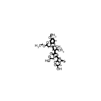 CCOC(=O)CN1/C(=C/C(=c2/s/c(=C3\SC(=S)N(CC(=O)O)C3=O)n(CC(=O)O)c2=O)C(C)C)Sc2ccc(OC)cc21